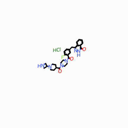 Cl.O=C(c1cc(Cc2n[nH]c(=O)c3ccccc23)ccc1F)N1CCN(C(=O)C2CCN(C3CNC3)CC2)CC1